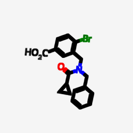 O=C(O)c1ccc(Br)c(CN(Cc2ccccc2)C(=O)C2CC2)c1